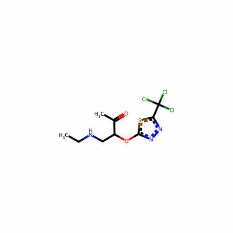 CCNCC(Oc1nnc(C(Cl)(Cl)Cl)s1)C(C)=O